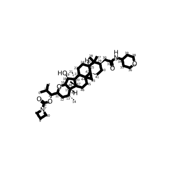 CC(C)[C@@H](OC(=O)N1CCC1)C1C[C@@H](C)[C@H]2C(O1)[C@H](O)[C@@]1(C)C3CC[C@H]4C(C)(C)[C@@H](CC(=O)NC5CCOCC5)CC[C@@]45CC35CC[C@]21C